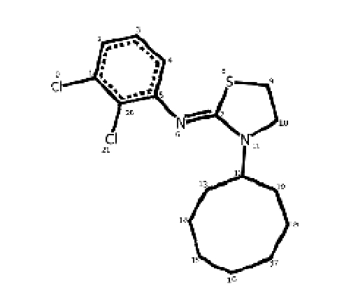 Clc1cccc(N=C2SCCN2C2CCCCCCC2)c1Cl